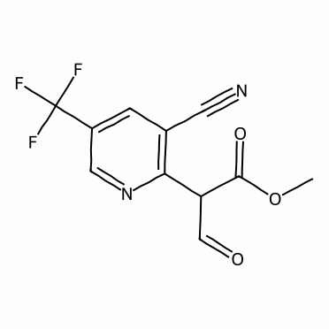 COC(=O)C(C=O)c1ncc(C(F)(F)F)cc1C#N